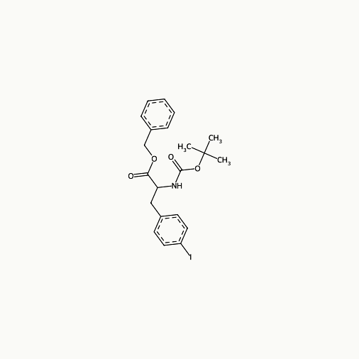 CC(C)(C)OC(=O)NC(Cc1ccc(I)cc1)C(=O)OCc1ccccc1